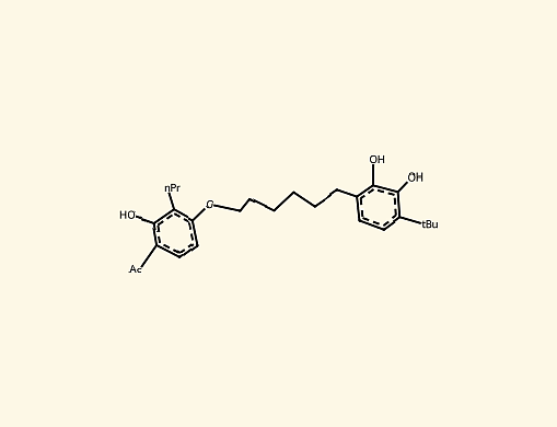 CCCc1c(OCCCCCCc2ccc(C(C)(C)C)c(O)c2O)ccc(C(C)=O)c1O